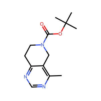 Cc1ncnc2c1CN(C(=O)OC(C)(C)C)CC2